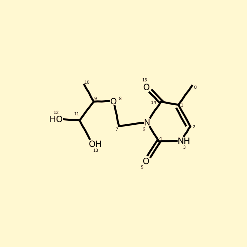 Cc1c[nH]c(=O)n(COC(C)C(O)O)c1=O